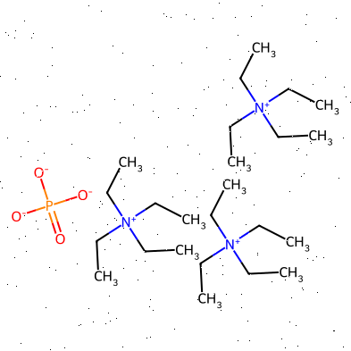 CC[N+](CC)(CC)CC.CC[N+](CC)(CC)CC.CC[N+](CC)(CC)CC.O=P([O-])([O-])[O-]